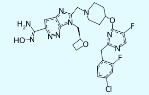 N/C(=N\O)c1cc2nc(CN3CCC(Oc4nc(Cc5ccc(Cl)cc5F)ncc4F)CC3)n(C[C@@H]3CCO3)c2nn1